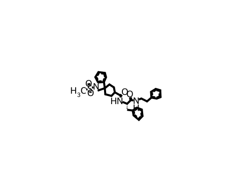 CS(=O)(=O)N1CC2(CCC(C(=O)N[C@@H](Cc3ccccc3)C(=O)NCCc3ccccc3)CC2)c2ccccc21